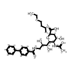 CCSCCCC[C@]1(C(=O)O)C[C@H](O)[C@@H](NC(C)=O)[C@H]([C@H](O)[C@H](O)CNC(=O)c2ccc(-c3ccccc3)cc2)O1